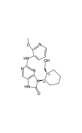 COc1ncccc1Nc1ncc2[nH]c(=O)n([C@@H]3CCCC[C@@H]3CO)c2n1